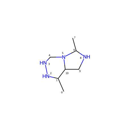 CC1NNCN2C(C)NCC12